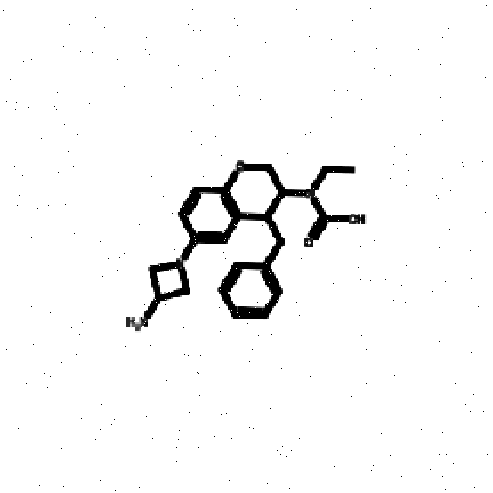 CCN(C(=O)O)C1COc2ccc(N3CC(N)C3)cc2C1Cc1ccccc1